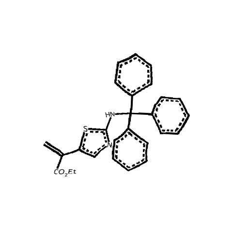 C=C(C(=O)OCC)c1cnc(NC(c2ccccc2)(c2ccccc2)c2ccccc2)s1